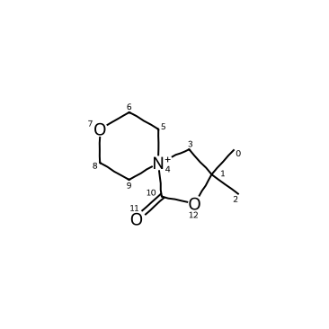 CC1(C)C[N+]2(CCOCC2)C(=O)O1